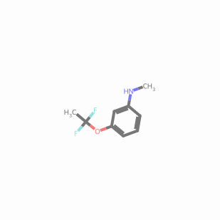 CNc1cccc(OC(C)(F)F)c1